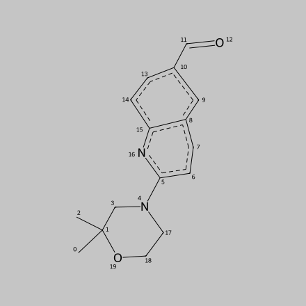 CC1(C)CN(c2ccc3cc(C=O)ccc3n2)CCO1